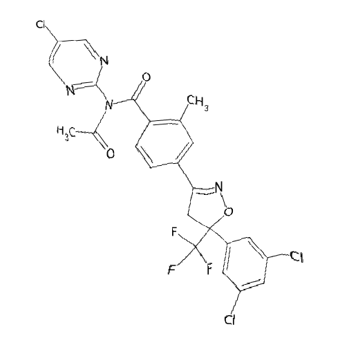 CC(=O)N(C(=O)c1ccc(C2=NOC(c3cc(Cl)cc(Cl)c3)(C(F)(F)F)C2)cc1C)c1ncc(Cl)cn1